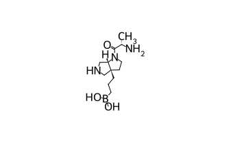 C[C@H](N)C(=O)N1CC[C@]2(CCCB(O)O)CNC[C@H]12